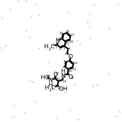 Cc1cc(CCOc2ccc(C(=O)NCC(C(=O)NO)C(C)O)cc2)c2ccccc2n1